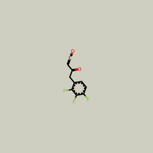 O=C=CC(=O)Cc1ccc(F)c(F)c1F